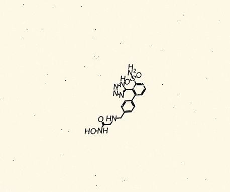 NS(=O)(=O)c1cccc(-c2ccc(CNCC(=O)NO)cc2)c1-c1nnn[nH]1